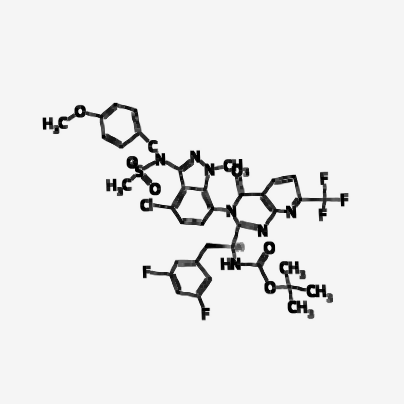 COc1ccc(CN(c2nn(C)c3c(-n4c([C@H](Cc5cc(F)cc(F)c5)NC(=O)OC(C)(C)C)nc5nc(C(F)(F)F)ccc5c4=O)ccc(Cl)c23)S(C)(=O)=O)cc1